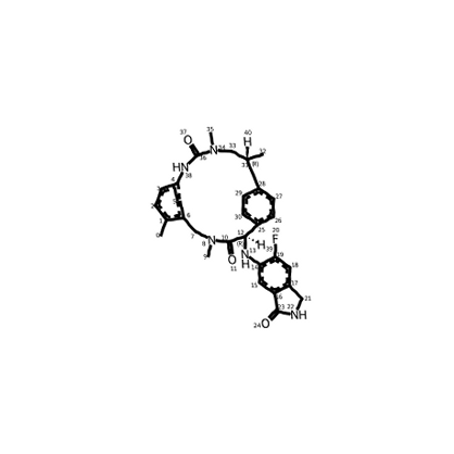 Cc1ccc2cc1CN(C)C(=O)[C@H](Nc1cc3c(cc1F)CNC3=O)c1ccc(cc1)[C@@H](C)CN(C)C(=O)N2